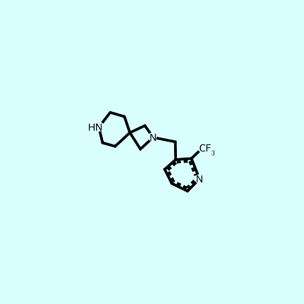 FC(F)(F)c1ncccc1CN1CC2(CCNCC2)C1